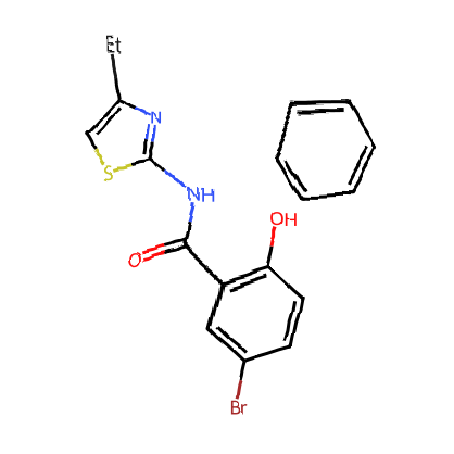 CCc1csc(NC(=O)c2cc(Br)ccc2O)n1.c1ccccc1